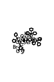 O=C(NC1C(=O)N2C(C(=O)OC(c3ccccc3)c3ccccc3)=C(Sc3sc4ccsc4c(=O)c3Br)CS[C@@H]12)C(=NOC(c1ccccc1)(c1ccccc1)c1ccccc1)c1nc(NC(c2ccccc2)(c2ccccc2)c2ccccc2)sc1Cl